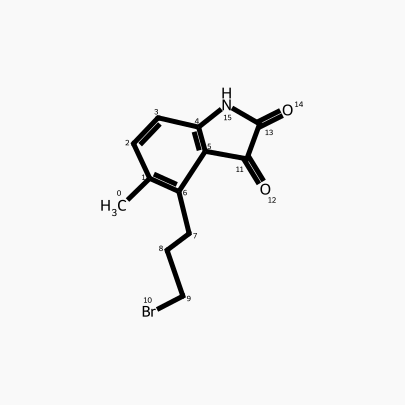 Cc1ccc2c(c1CCCBr)C(=O)C(=O)N2